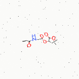 C=CC(=O)NCC(=O)OC1CC(C)(C)OC1=O